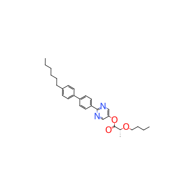 CCCCCCc1ccc(-c2ccc(-c3ncc(OC(=O)[C@@H](C)OCCCC)cn3)cc2)cc1